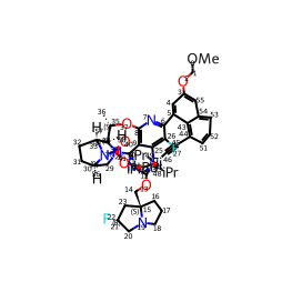 COCOc1cc(-c2nc3c4c(nc(OC[C@@]56CCCN5C[C@H](F)C6)nc4c2F)N2C[C@H]4CC[C@@H]([C@H]2[C@H](C)O3)N4C(=O)OC(C)(C)C)c2c(C#C[Si](C(C)C)(C(C)C)C(C)C)cccc2c1